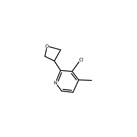 Cc1ccnc(C2COC2)c1Cl